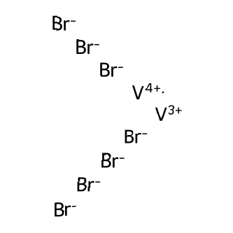 [Br-].[Br-].[Br-].[Br-].[Br-].[Br-].[Br-].[V+3].[V+4]